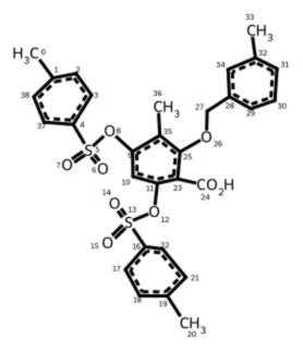 Cc1ccc(S(=O)(=O)Oc2cc(OS(=O)(=O)c3ccc(C)cc3)c(C(=O)O)c(OCc3cccc(C)c3)c2C)cc1